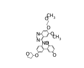 COCCOc1cc2ncnc(Nc3ccc(OC4CCOC4)cc3C3=CC(=O)C=CC3=O)c2cc1OC